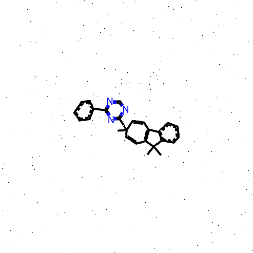 CC1(c2ncnc(-c3ccccc3)n2)C=CC2=C(C=C1)C(C)(C)c1ccccc12